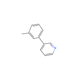 Cc1cccc(-c2cccnc2)c1